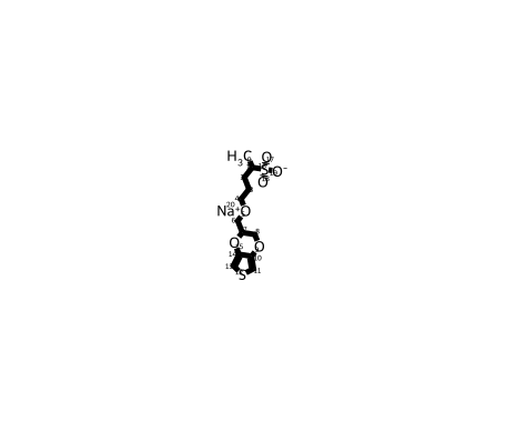 CC(CCCOCC1COc2cscc2O1)S(=O)(=O)[O-].[Na+]